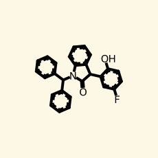 O=C1C(c2cc(F)ccc2O)c2ccccc2N1C(c1ccccc1)c1ccccc1